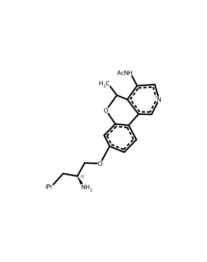 CC(=O)Nc1cncc2c1C(C)Oc1cc(OC[C@@H](N)CC(C)C)ccc1-2